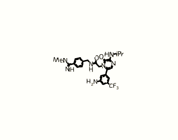 CNC(=N)c1ccc(CNC(=O)Cn2c(-c3cc(N)cc(C(F)(F)F)c3)cnc(NC(C)C)c2=O)cc1